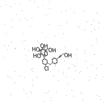 OCC#Cc1ccc(Cc2cc([C@@H]3O[C@H](CO)[C@@H](O)[C@H](O)[C@H]3O)ccc2Cl)cc1